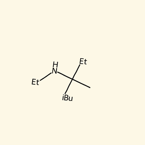 CCNC(C)(CC)C(C)CC